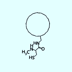 CNC(CS)C(=O)NCC1CCCCCCCCCCCCCCCC1